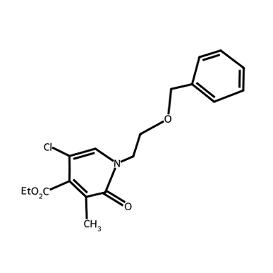 CCOC(=O)c1c(Cl)cn(CCOCc2ccccc2)c(=O)c1C